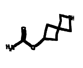 NC(=O)OC1CC2(CNC2)C1